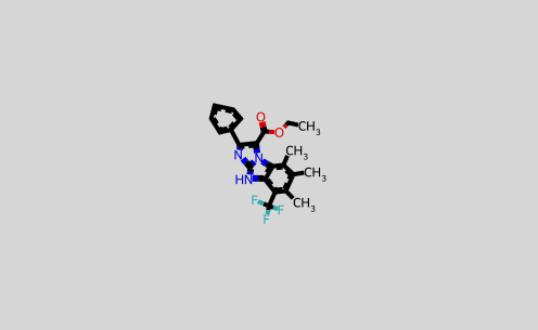 CCOC(=O)c1c(-c2ccccc2)nc2[nH]c3c(C(F)(F)F)c(C)c(C)c(C)c3n12